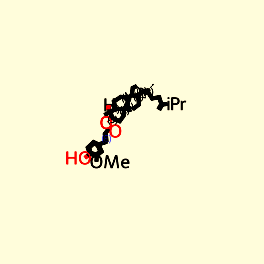 C=C(CC[C@@H](C)[C@H]1CCC2[C@]1(C)CC[C@@]13C[C@@]14CC[C@H](OC(=O)/C=C/c1ccc(O)c(OC)c1)C(C)(C)[C@@H]4CC[C@@]23C)C(C)C